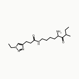 CCC(C)C(=O)C(N)CCCCNC(=O)CCc1cn(CC)nn1